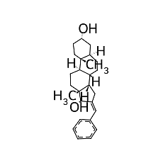 C[C@@]12CC[C@@H]3[C@H](CC[C@@H]4C[C@@H](O)CC[C@]43C)[C@@H]1C/C(=C/c1ccccc1)[C@H]2O